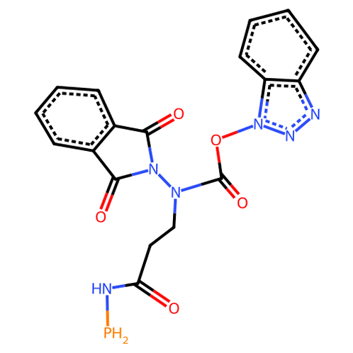 O=C(CCN(C(=O)On1nnc2ccccc21)N1C(=O)c2ccccc2C1=O)NP